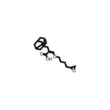 O=C(O)C(=COCCCCC1CO1)CC12CC3CC(CC(C3)C1)C2